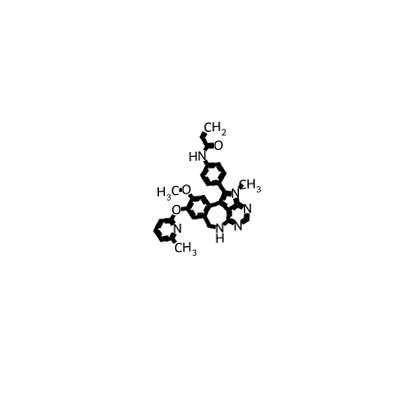 C=CC(=O)Nc1ccc(-c2c3c4c(ncnc4n2C)NCc2cc(Oc4cccc(C)n4)c(OC)cc2-3)cc1